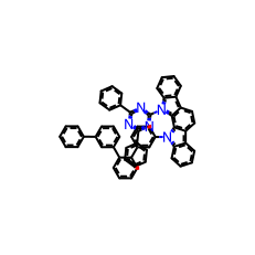 c1ccc(-c2cccc(-c3ccccc3-c3cccc(-n4c5ccccc5c5ccc6c7ccccc7n(-c7nc(-c8ccccc8)nc(-c8ccccc8)n7)c6c54)c3)c2)cc1